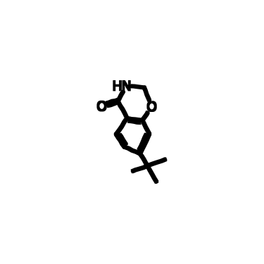 CC(C)(C)c1ccc2c(c1)OCNC2=O